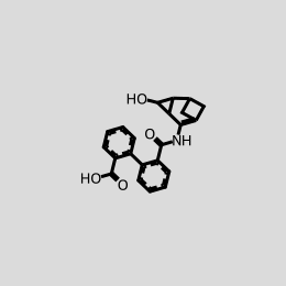 O=C(O)c1ccccc1-c1ccccc1C(=O)NC1=C2CC(C2)C2C(O)C12